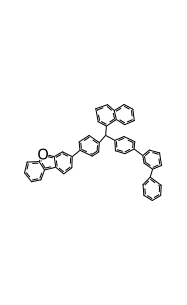 c1ccc(-c2cccc(-c3ccc(C(c4ccc(-c5ccc6c(c5)oc5ccccc56)cc4)c4cccc5ccccc45)cc3)c2)cc1